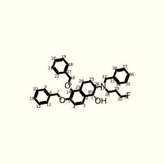 O[C@@H]1c2ccc(OCc3ccccc3)c(OCc3ccccc3)c2CC[C@H]1N(CCCF)Cc1ccccc1